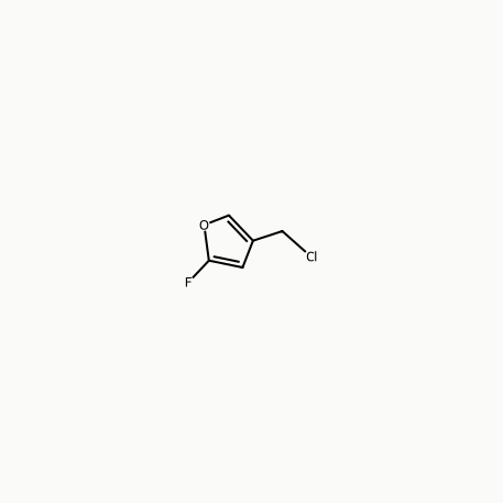 Fc1cc(CCl)co1